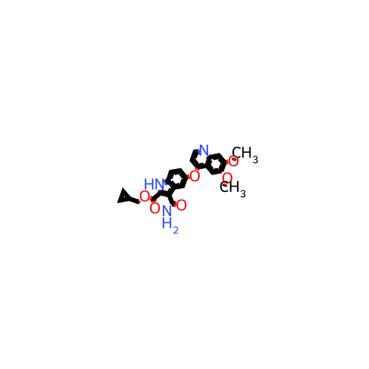 COc1cc2nccc(Oc3ccc4[nH]c(C(=O)OCC5CC5)c(C(N)=O)c4c3)c2cc1OC